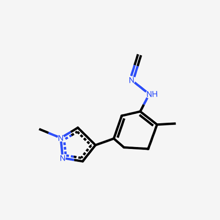 C=NNC1=C(C)CCC(c2cnn(C)c2)=C1